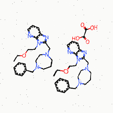 CCOCCn1c(CN2CCCN(Cc3ccccc3)CC2)nc2cccnc21.CCOCCn1c(CN2CCCN(Cc3ccccc3)CC2)nc2cccnc21.O=C(O)C(=O)O